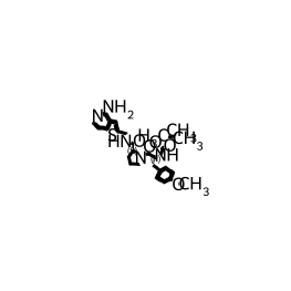 COc1ccc(C[C@@H](NC(=O)OC(C)(C)C)C(=O)N2CCC[C@H]2C(=O)NCc2cc3c(N)nccc3s2)cc1